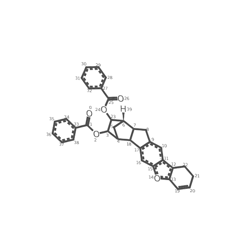 O=C(OC1C2C[C@@H](C3Cc4cc5c6c(oc5cc4C23)C=CCC6)C1OC(=O)c1ccccc1)c1ccccc1